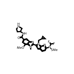 COc1cc(C(=O)NC2CCNC2)cc2nc(-c3cc4ccc(N(SC)C(F)F)nc4n3CC3CC3)n(C)c12